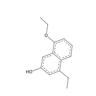 CCOc1cccc2c(CC)cc(O)cc12